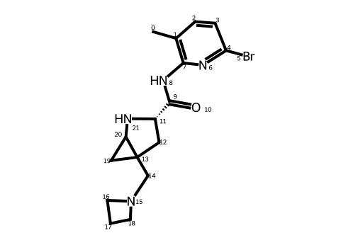 Cc1ccc(Br)nc1NC(=O)[C@@H]1CC2(CN3CCC3)CC2N1